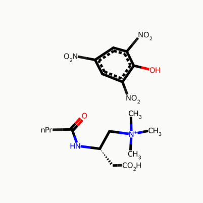 CCCC(=O)N[C@@H](CC(=O)O)C[N+](C)(C)C.O=[N+]([O-])c1cc([N+](=O)[O-])c(O)c([N+](=O)[O-])c1